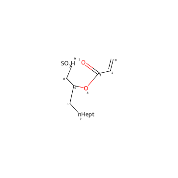 C=CC(=O)OC(CCCCCCCC)CS(=O)(=O)O